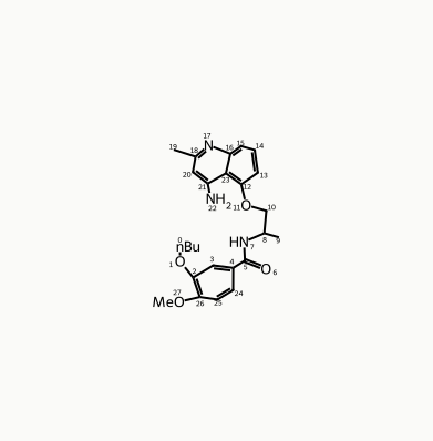 CCCCOc1cc(C(=O)NC(C)COc2cccc3nc(C)cc(N)c23)ccc1OC